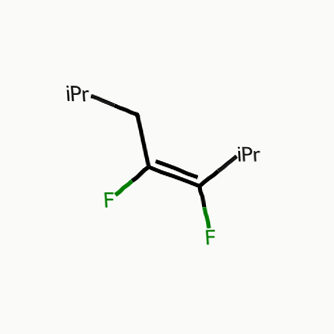 CC(C)C/C(F)=C(/F)C(C)C